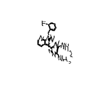 Nc1nnc(-c2nn(Cc3ccccc3F)c3ncccc23)nc1N